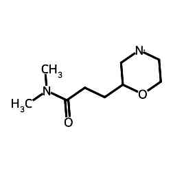 CN(C)C(=O)CCC1C[N]CCO1